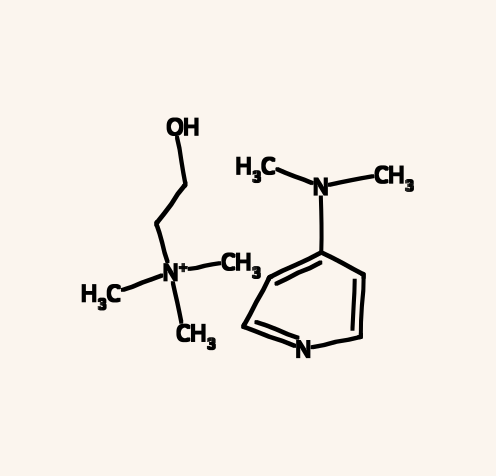 CN(C)c1ccncc1.C[N+](C)(C)CCO